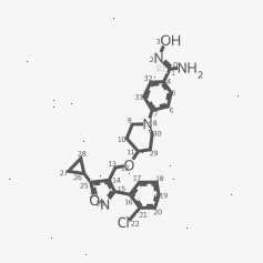 N/C(=N\O)c1ccc(N2CCC(OCc3c(-c4ccccc4Cl)noc3C3CC3)CC2)cc1